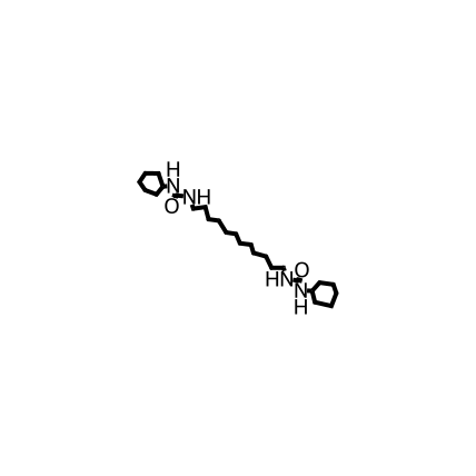 O=C(NCCCCCCCCCCCCNC(=O)NC1CCCCC1)NC1CCCCC1